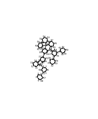 c1ccc(-c2cccc(-n3c4ccccc4c4cc(-c5ccc6c(c5)N(c5cc(-c7ccccc7)cc(-c7ccccc7)n5)c5ccccc5C6(c5ccccc5)c5ccccc5)ccc43)c2)cc1